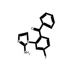 Nc1nccn1-c1cc(F)ccc1C(=O)c1ccccc1